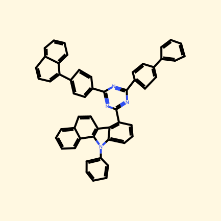 c1ccc(-c2ccc(-c3nc(-c4ccc(-c5cccc6ccccc56)cc4)nc(-c4cccc5c4c4ccc6ccccc6c4n5-c4ccccc4)n3)cc2)cc1